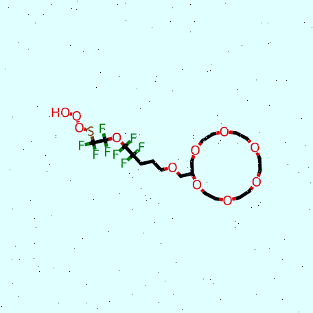 OOOSC(F)(F)C(F)(F)OC(F)(F)C(F)(F)CCCOCC1COCCOCCOCCOCCOCCO1